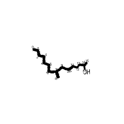 CCCCCCCC(C)CCCCCC(C)O